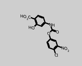 O=C(Nc1ccc(C(=O)O)c(O)c1)Oc1ccc(Cl)c([N+](=O)[O-])c1